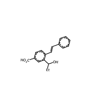 CCC(O)c1cc(C(=O)O)ccc1C=Cc1ccccc1